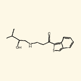 CC(C)C(O)CNCCC(=O)c1scc2ccccc12